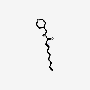 C=CCCCC/C=C/C(=O)NCC1CCOCC1